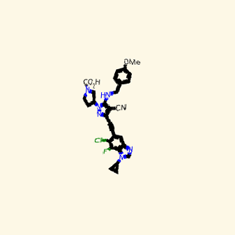 COc1ccc(CNc2c(C#N)c(C#Cc3cc4ncn(C5CC5)c4c(F)c3Cl)nn2C2CCN(C(=O)O)C2)cc1